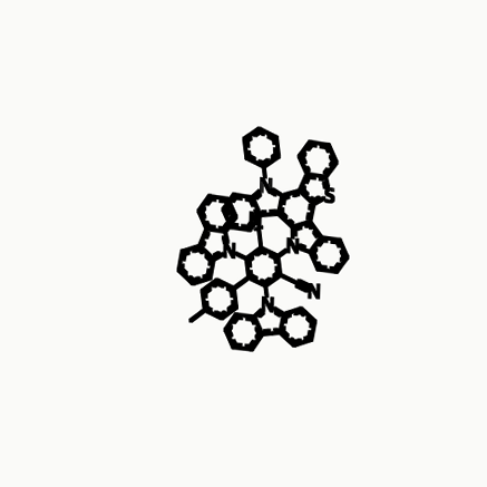 Cc1ccc(-c2c(-n3c4ccccc4c4ccccc43)c(C#N)c(-n3c4ccccc4c4c5sc6ccccc6c5c5c(c6ccccc6n5-c5ccccc5)c43)c(C#N)c2-n2c3ccccc3c3ccccc32)cc1